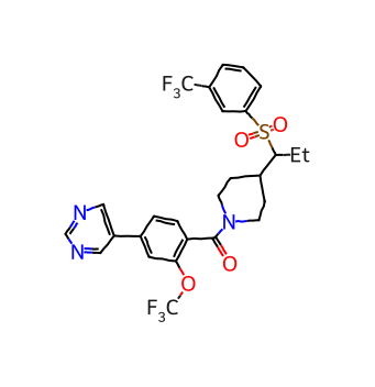 CCC(C1CCN(C(=O)c2ccc(-c3cncnc3)cc2OC(F)(F)F)CC1)S(=O)(=O)c1cccc(C(F)(F)F)c1